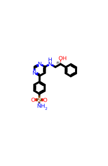 NS(=O)(=O)c1ccc(-c2cc(NC[C@H](O)c3ccccc3)ncn2)cc1